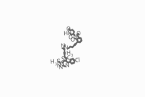 Cc1c(C#Cc2cncn2CCCC#Cc2cccc3c2C(=O)N(C2CCC(=O)NC2=O)C3=O)sc2c1C(c1ccc(Cl)cc1)=NCc1nnc(C)n1-2